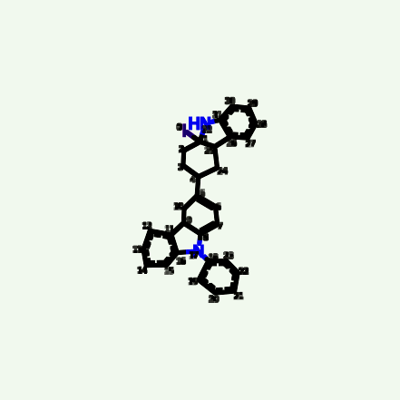 IC12CCC(C3=CC=C4C(C3)c3ccccc3N4c3ccccc3)CC1c1ccccc1N2